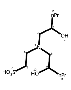 CCCC(O)CN(CCS(=O)(=O)O)CC(O)CCC